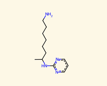 CC(CCCCCCN)Nc1ncccn1